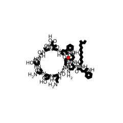 CCC(C)CCCCCCCCC(=O)NC(Cc1c[nH]c2ccccc12)C(=O)NC(CC(N)=O)C(=O)NC(CC(=O)O)C(=O)NC1C(=O)NCC(=O)NC(CCCN)C(=O)NC(CC(=O)O)C(=O)NC(CC(N)=O)C(=O)NC(CC(=O)O)C(=O)NCC(=O)NC(CO)C(=O)NC(C(C)CC(=O)O)C(=O)NC(Cc2c[nH]c3ccccc23)C(=O)OC1C